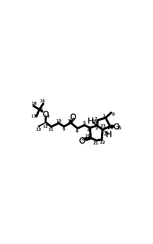 CC1C[C@H]2C(CCC(=O)CCC[C@@H](C)OC(C)(C)C)C(=O)CC[C@@H]2C1=O